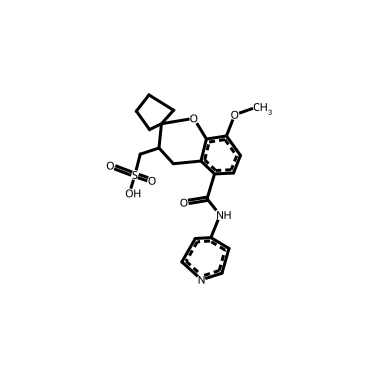 COc1ccc(C(=O)Nc2ccncc2)c2c1OC1(CCCC1)C(CS(=O)(=O)O)C2